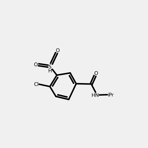 CC(C)NC(=O)c1ccc(Cl)c([SH](=O)=O)c1